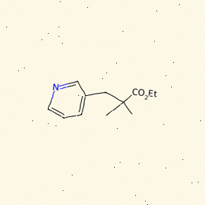 CCOC(=O)C(C)(C)Cc1cccnc1